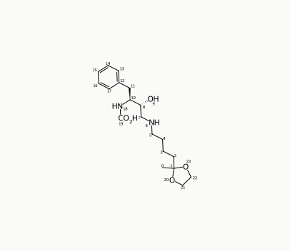 CC1(CCCCNC[C@@H](O)[C@H](Cc2ccccc2)NC(=O)O)OCCO1